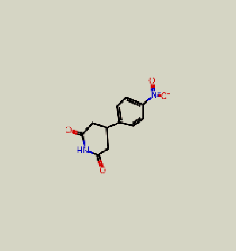 O=C1CC(c2ccc([N+](=O)[O-])cc2)CC(=O)N1